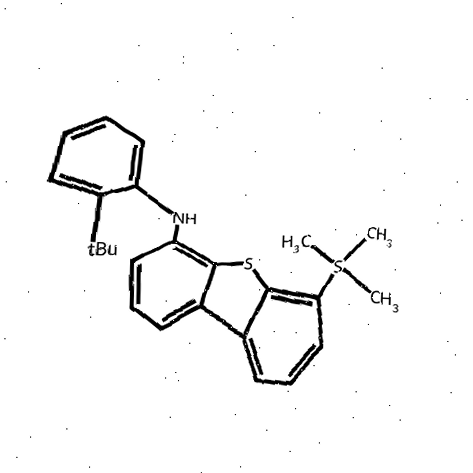 CC(C)(C)c1ccccc1Nc1cccc2c1sc1c(S(C)(C)C)cccc12